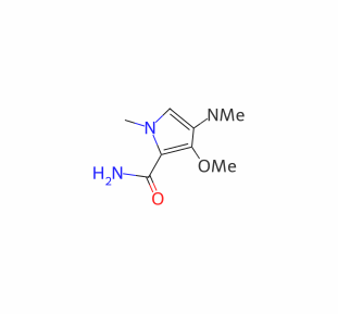 CNc1cn(C)c(C(N)=O)c1OC